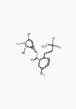 CCCCn1c(=NC(=O)c2cc(C(F)(F)F)ccc2C=CC(C)(C)O)cc(C(C)(C)C)n1C